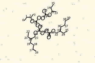 CCC(C)OC(=O)OOC(=O)OC(C)CC.CCCCC(CC)COC(=O)OOC(=O)OCC(CC)CCCC